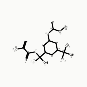 C=C(C(=O)OC(O)(C1CC(OC(C)OCC)CC(C(O)(C(F)(F)F)C(F)(F)F)C1)C(F)(F)F)C(F)(F)F